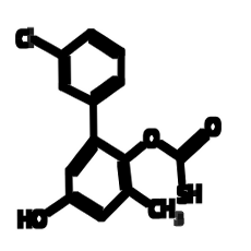 Cc1cc(O)cc(-c2cccc(Cl)c2)c1OC(=O)S